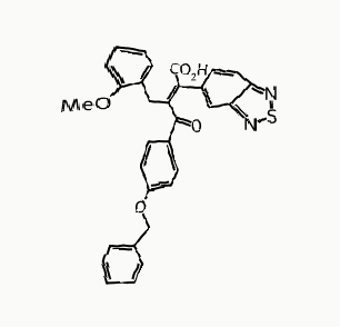 COc1ccccc1CC(C(=O)c1ccc(OCc2ccccc2)cc1)=C(C(=O)O)c1ccc2nsnc2c1